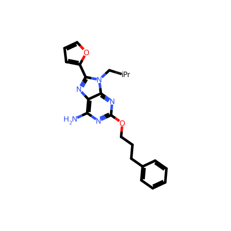 CC(C)Cn1c(-c2ccco2)nc2c(N)nc(OCCCc3ccccc3)nc21